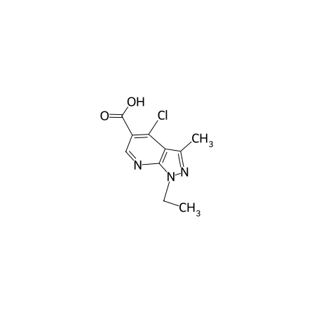 CCn1nc(C)c2c(Cl)c(C(=O)O)cnc21